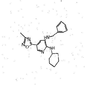 Cc1noc(-c2cnc(NC3CCCCC3)c(NCc3ccccc3)c2)n1